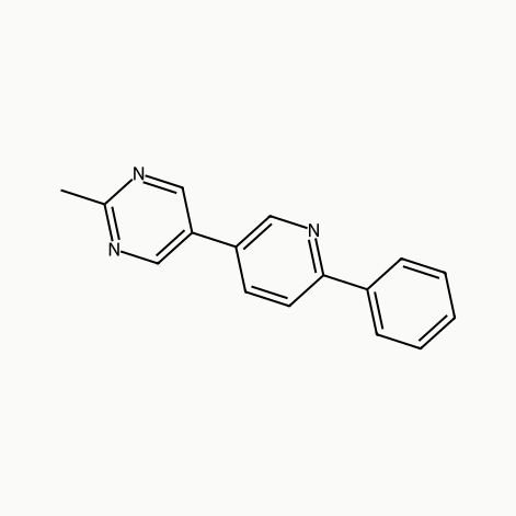 Cc1ncc(-c2ccc(-c3ccccc3)nc2)cn1